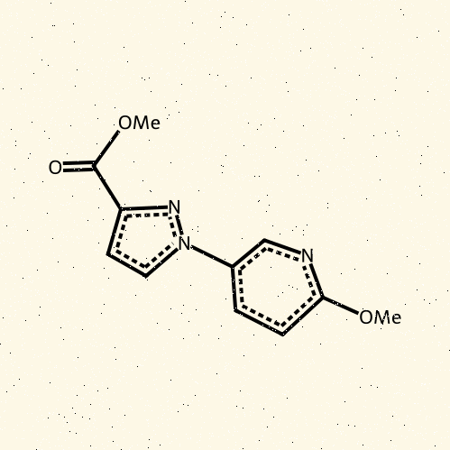 COC(=O)c1ccn(-c2ccc(OC)nc2)n1